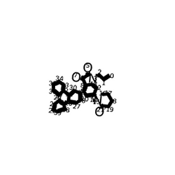 C=CCN1C(=O)C(=O)c2ccccc21.CN1CCCCC1=O.c1ccc(-c2ccccc2-c2ccccc2)cc1